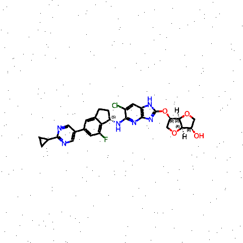 O[C@@H]1CO[C@H]2[C@@H]1OC[C@H]2Oc1nc2nc(N[C@H]3CCc4cc(-c5cnc(C6CC6)nc5)cc(F)c43)c(Cl)cc2[nH]1